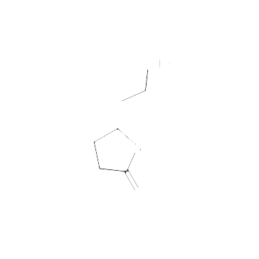 O=CCC[C@H]1CCC(=O)N1